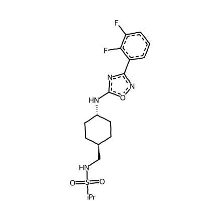 CC(C)S(=O)(=O)NC[C@H]1CC[C@H](Nc2nc(-c3cccc(F)c3F)no2)CC1